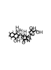 NC1=C2CC=CC=C2C(O)C=C1Nc1nc(=O)c2ncn(C3CC(O)C(CO)O3)c2[nH]1